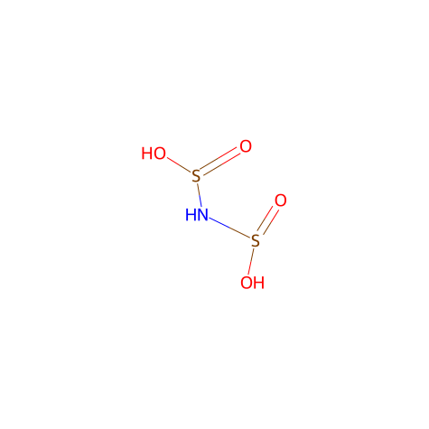 O=S(O)NS(=O)O